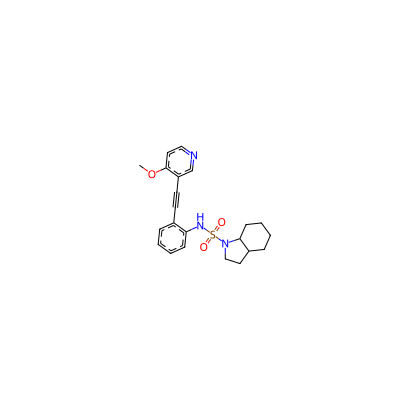 COc1ccncc1C#Cc1ccccc1NS(=O)(=O)N1CCC2CCCCC21